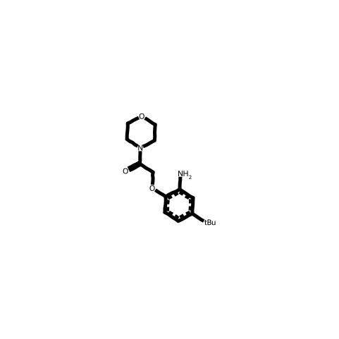 CC(C)(C)c1ccc(OCC(=O)N2CCOCC2)c(N)c1